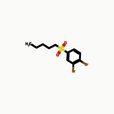 CCCCCS(=O)(=O)c1ccc(Br)c(Br)c1